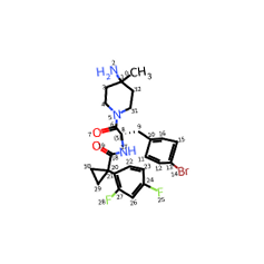 CC1(N)CCN(C(=O)[C@H](Cc2ccc(Br)cc2)NC(=O)C2(c3ccc(F)cc3F)CC2)CC1